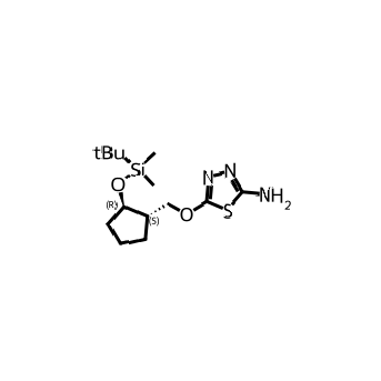 CC(C)(C)[Si](C)(C)O[C@@H]1CCC[C@H]1COc1nnc(N)s1